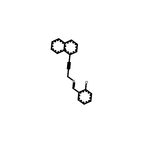 Clc1ccccc1/C=N/CC#Cc1cccc2ccccc12